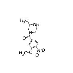 COc1cc(C(=O)N2CCN[C@H](C)C2)ccc1[N+](=O)[O-]